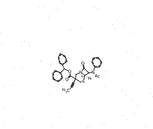 CC#CC1(C(=O)OC(c2ccccc2)c2ccccc2)CS[C@@H]2C(N(C(C)=O)c3ccccc3)C(=O)N2C1